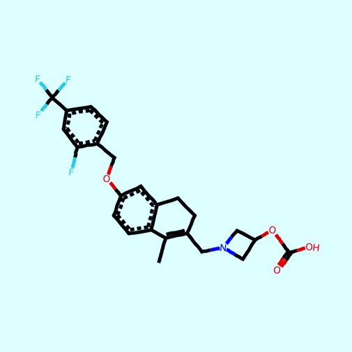 CC1=C(CN2CC(OC(=O)O)C2)CCc2cc(OCc3ccc(C(F)(F)F)cc3F)ccc21